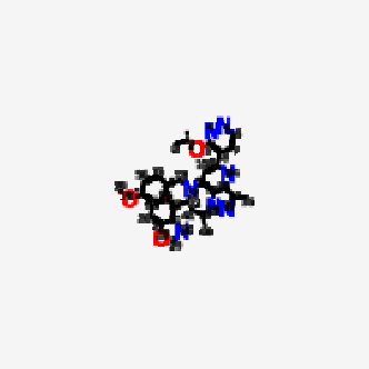 CCOc1nnccc1-c1cc(N(Cc2ccc(OC)cc2)Cc2cccc3ocnc23)c2c(n1)c(C)nn2C(C)C